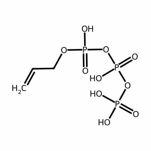 C=CCOP(=O)(O)OP(=O)(O)OP(=O)(O)O